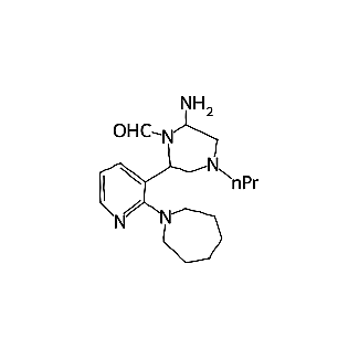 CCCN1CC(N)N(C=O)C(c2cccnc2N2CCCCCC2)C1